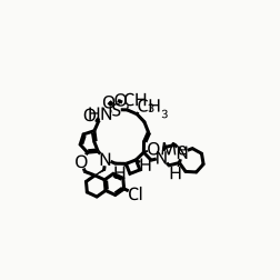 CO[C@]1(CN2CCN3CCCCC[C@H]3C2)/C=C/C[C@H](C)[C@@H](C)S(=O)(=O)NC(=O)c2ccc3c(c2)N(C[C@@H]2CC[C@H]21)C[C@@]1(CCCc2cc(Cl)ccc21)CO3